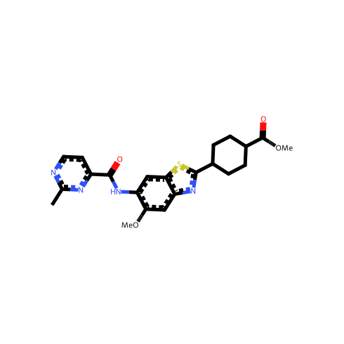 COC(=O)C1CCC(c2nc3cc(OC)c(NC(=O)c4ccnc(C)n4)cc3s2)CC1